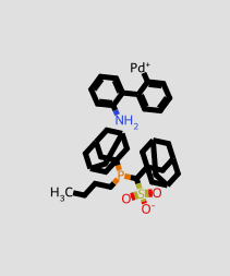 CCCCP(C(C12CC3CC(CC(C3)C1)C2)S(=O)(=O)[O-])C12CC3CC(CC(C3)C1)C2.Nc1ccccc1-c1cccc[c]1[Pd+]